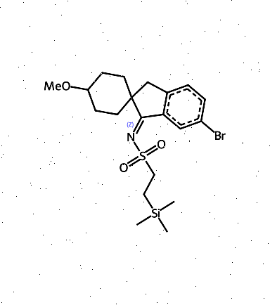 COC1CCC2(CC1)Cc1ccc(Br)cc1/C2=N\S(=O)(=O)CC[Si](C)(C)C